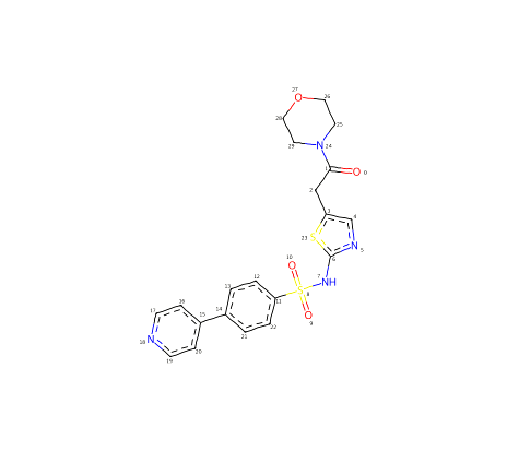 O=C(Cc1cnc(NS(=O)(=O)c2ccc(-c3ccncc3)cc2)s1)N1CCOCC1